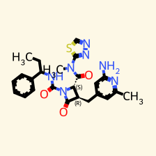 CCC(NC(=O)N1C(=O)[C@H](Cc2cc(C)nc(N)c2)[C@H]1C(=O)N(C)c1nncs1)c1ccccc1